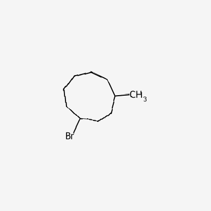 CC1CCCCCC(Br)CC1